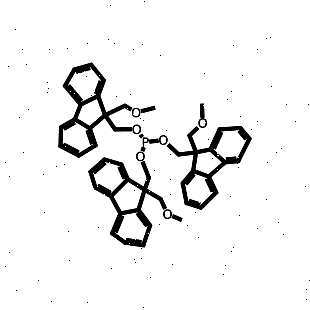 COCC1(COP(OCC2(COC)c3ccccc3-c3ccccc32)OCC2(COC)c3ccccc3-c3ccccc32)c2ccccc2-c2ccccc21